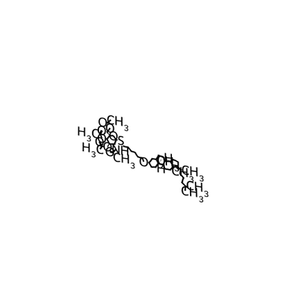 CC(=O)N[C@@H]1[C@@H](OC(C)=O)[C@@H](OC(C)=O)[C@@H](COC(C)=O)O[C@H]1SCCCCCCOC1CC[C@@]2(C)C(=CC[C@H]3[C@@H]4CC[C@H]([C@H](C)CCCC(C)C)[C@@]4(C)CC[C@@H]32)C1